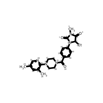 CCC1C(=O)N(C)C(=O)N1c1ccc(C(=O)N2CCN(c3ncc(C)cc3C)CC2)cc1